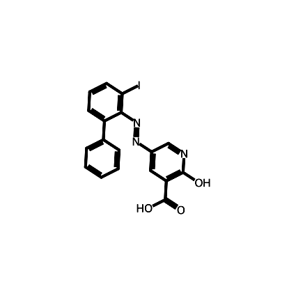 O=C(O)c1cc(N=Nc2c(I)cccc2-c2ccccc2)cnc1O